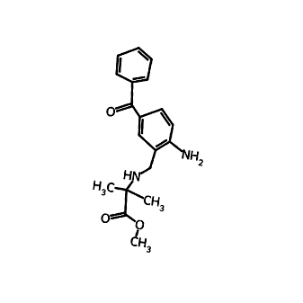 COC(=O)C(C)(C)NCc1cc(C(=O)c2ccccc2)ccc1N